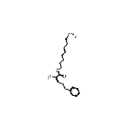 CCCCCCCCCOC(=O)C(C)=CCCc1ccccc1